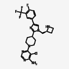 Nc1ncnc(N2CCC(c3nc(-c4ccc(F)c(C(F)(F)F)c4)cn3C[C@@H]3CCN3)CC2)c1Cl